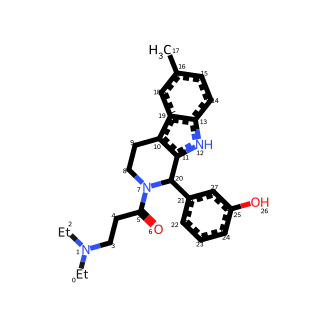 CCN(CC)CCC(=O)N1CCc2c([nH]c3ccc(C)cc23)C1c1cccc(O)c1